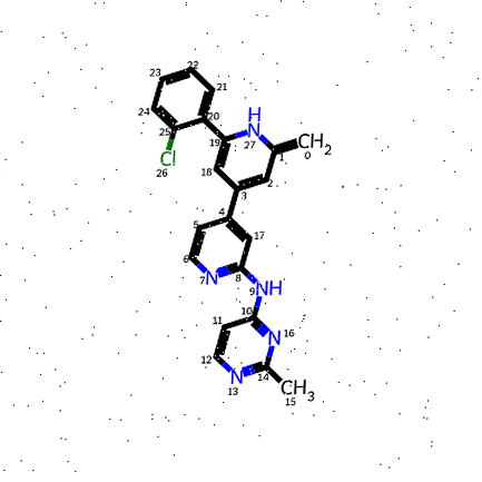 C=C1C=C(c2ccnc(Nc3ccnc(C)n3)c2)C=C(c2ccccc2Cl)N1